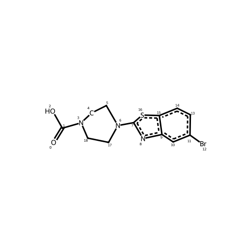 O=C(O)N1CCN(c2nc3cc(Br)ccc3s2)CC1